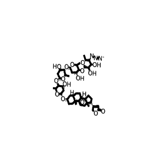 CC1O[C@@H](OC2C(C)O[C@@H](O[C@H]3CCC4(C)C5CCC6(C)[C@@H](C7=CC(=O)OC7)CC[C@]6(O)[C@@H]5CC[C@@H]4C3)C[C@H]2O)C[C@@H](O)C1O[C@H]1C[C@@H](O)C(O[C@H]2OC(C)[C@@H](N=[N+]=[N-])C(O)C2O)C(C)O1